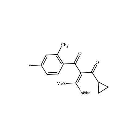 CSC(SC)=C(C(=O)c1ccc(F)cc1C(F)(F)F)C(=O)C1CC1